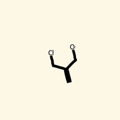 C=C(C[O])CCl